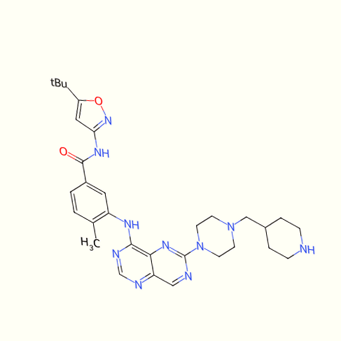 Cc1ccc(C(=O)Nc2cc(C(C)(C)C)on2)cc1Nc1ncnc2cnc(N3CCN(CC4CCNCC4)CC3)nc12